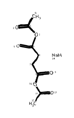 CC(=O)OC(=O)CCC(=O)OC(C)=O.[NaH]